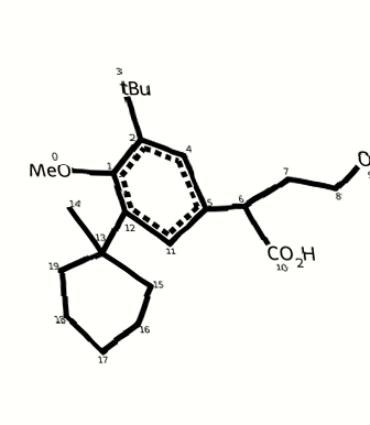 COc1c(C(C)(C)C)cc(C(CCO)C(=O)O)cc1C1(C)CCCCC1